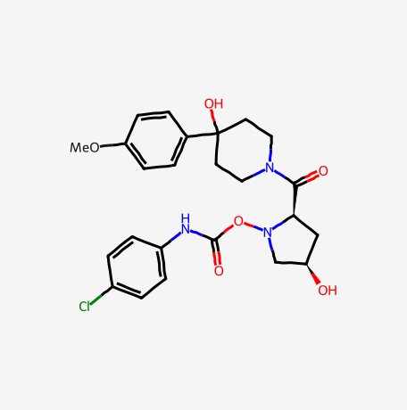 COc1ccc(C2(O)CCN(C(=O)[C@H]3C[C@@H](O)CN3OC(=O)Nc3ccc(Cl)cc3)CC2)cc1